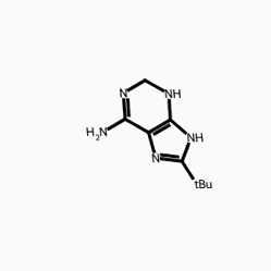 CC(C)(C)c1nc2c([nH]1)NCN=C2N